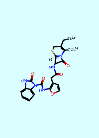 CC(=O)OCC1=C(C(=O)O)N2C(=O)C(NC(=O)Cc3ccoc3NC(=O)n3c(=O)[nH]c4ccccc43)[C@H]2SC1